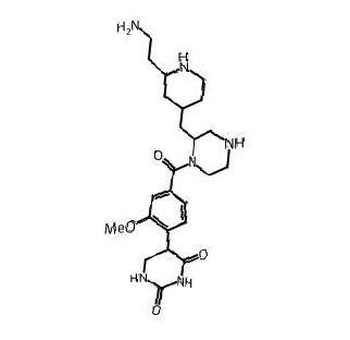 COc1cc(C(=O)N2CCNCC2CC2CCNC(CCN)C2)ccc1C1CNC(=O)NC1=O